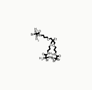 BC(B)(Br)C(=O)NCCCOCC(CC)(COCCCNC(=O)C(B)(B)Br)COCCCNC(=O)C(Br)(Br)Br